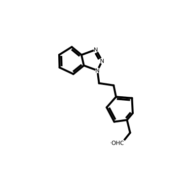 O=[C]Cc1ccc(CCn2nnc3ccccc32)cc1